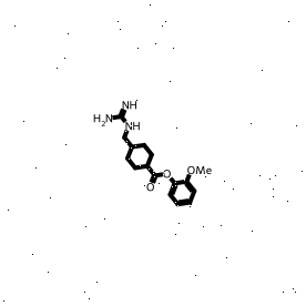 COc1ccccc1OC(=O)C1CCC(CNC(=N)N)CC1